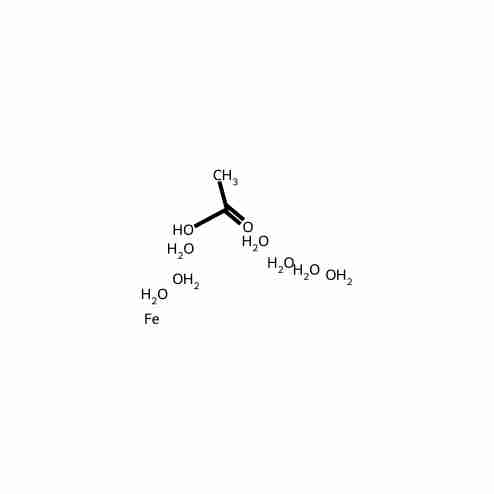 CC(=O)O.O.O.O.O.O.O.O.[Fe]